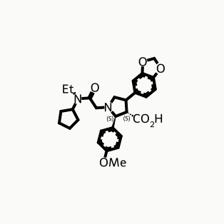 CCN(C(=O)CN1CC(c2ccc3c(c2)OCO3)[C@H](C(=O)O)[C@H]1c1ccc(OC)cc1)C1CCCC1